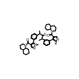 CC(C(=O)C(C)c1cccc(-c2c(C(=O)N3CCCC4CCCCC43)cnn2C)c1)c1cccc(-c2c(C(=O)N3CCCC4CCCCC43)cnn2C)c1